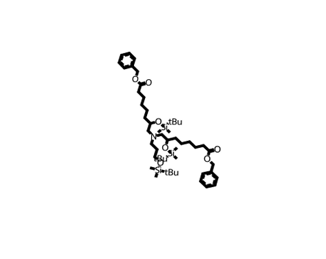 CC(C)(C)[Si](C)(C)OCCCN(CC(CCCCCC(=O)OCc1ccccc1)O[Si](C)(C)C(C)(C)C)CC(CCCCCC(=O)OCc1ccccc1)O[Si](C)(C)C(C)(C)C